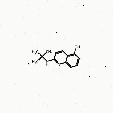 CC(C)(C)Nc1ccc2c(O)cccc2n1